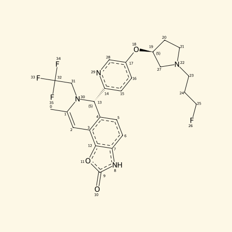 CC1=Cc2c(ccc3[nH]c(=O)oc23)[C@@H](c2ccc(O[C@H]3CCN(CCCF)C3)cn2)N1CC(F)(F)F